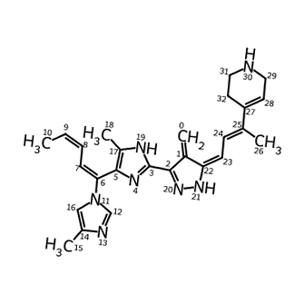 C=c1c(-c2nc(/C(=C\C=C/C)n3cnc(C)c3)c(C)[nH]2)n[nH]/c1=C/C=C(\C)C1=CCNCC1